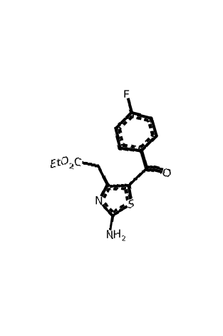 CCOC(=O)Cc1nc(N)sc1C(=O)c1ccc(F)cc1